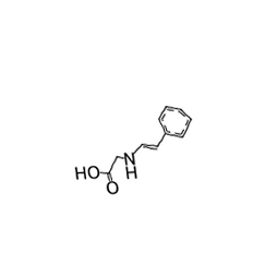 O=C(O)CN/C=C/c1ccccc1